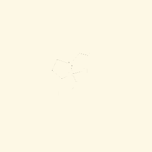 CCN1CCC[Si]1(C)OC